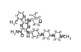 Cc1cccnc1-c1nc(C(N)=O)c(Nc2ccc(N3CCC(N4CCN(C)CC4)CC3)cc2)nc1NC1CCOCC12CC2